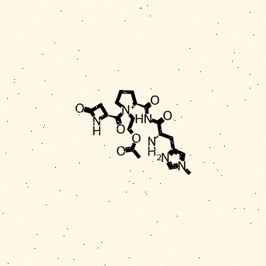 CC(=O)OCC[N+]1(C(=O)[C@@H]2CC(=O)N2)CCC[C@H]1C(=O)NC(=O)[C@@H](N)Cc1cn(C)cn1